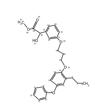 CCCc1cc(Oc2ccccc2)ccc1OCCCOc1cccc(C(O)C(=O)OC)c1